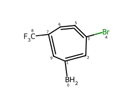 BC1=CC(Br)=C=CC(C(F)(F)F)=C1